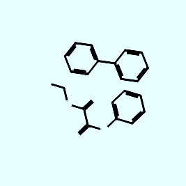 C=C(Oc1ccccc1)C(=O)OCC.c1ccc(-c2ccccc2)cc1